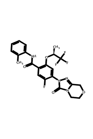 Cc1ccccc1NC(=O)c1cc(F)c(-n2nc3n(c2=O)CCOC3)cc1O[C@@H](C)C(F)(F)F